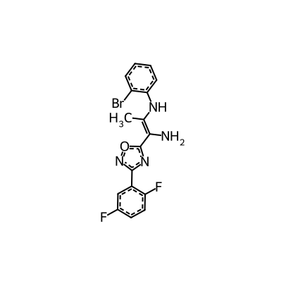 C/C(Nc1ccccc1Br)=C(/N)c1nc(-c2cc(F)ccc2F)no1